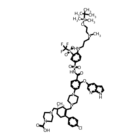 CN(CCCNc1ccc(S(=O)(=O)NC(=O)c2ccc(N3CCN(CC4=C(c5ccc(Cl)cc5)CC[C@@](C)(CN5CCN(C(=O)O)CC5)C4)CC3)cc2Oc2cnc3[nH]ccc3c2)cc1S(=O)(=O)C(F)(F)F)CCO[Si](C)(C)C(C)(C)C